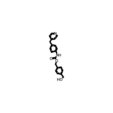 O=C(Nc1ccc(Cc2ccncc2)cc1)OCc1ccc(CO)cc1